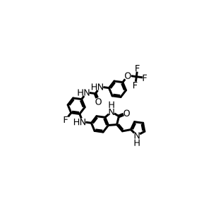 O=C(Nc1cccc(OC(F)(F)F)c1)Nc1ccc(F)c(Nc2ccc3c(c2)NC(=O)C3=Cc2ccc[nH]2)c1